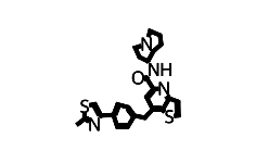 Cc1nc(-c2ccc(Cc3cc(C(=O)NC4CCN5CCCC45)nc4ccsc34)cc2)cs1